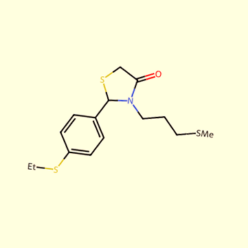 CCSc1ccc(C2SCC(=O)N2CCCSC)cc1